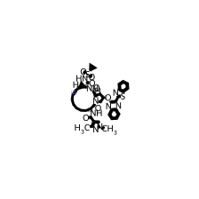 Cc1nn(C)cc1C(=O)N[C@H]1CCCCC/C=C\[C@@H]2C[C@@]2(C(=O)NS(=O)(=O)C2CC2)NC(=O)[C@@H]2C[C@@H](Oc3nc4ccccc4nc3-c3nc4ccccc4s3)CN2C1=O